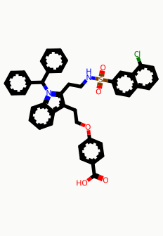 O=C(O)c1ccc(OCCc2c(CCNS(=O)(=O)c3ccc4cccc(Cl)c4c3)n(C(c3ccccc3)c3ccccc3)c3ccccc23)cc1